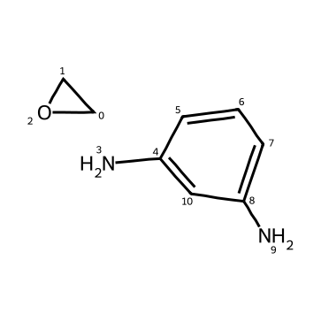 C1CO1.Nc1cccc(N)c1